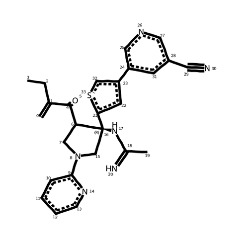 C=C(CC)C(=O)C1CN(c2ccccn2)C[C@@]1(NC(C)=N)c1cc(-c2cncc(C#N)c2)cs1